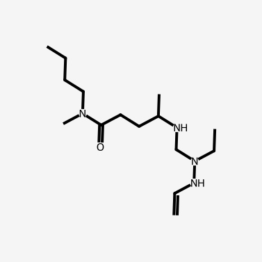 C=CNN(CC)CNC(C)CCC(=O)N(C)CCCC